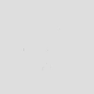 CCC(=O)Oc1cccc(CC)c1COc1cc(F)c(CC)cc1C(F)(F)F